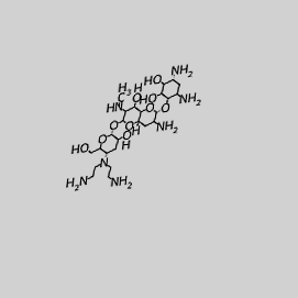 CNC1C(O[C@H]2OC(CO)[C@@H](N(CCN)CCN)CC2O)O[C@H]2CC(N)[C@@H](O[C@@H]3C(N)C[C@@H](N)C(O)C3O)OC2C1O